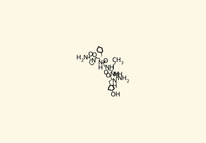 CCCC[C@@H](NC(=O)[C@H](Cc1ccc(O)cc1)NC(=N)N)C(=O)NCC(=O)N[C@@H](Cc1ccccc1)C(=O)N1CCC[C@H]1C(N)=O